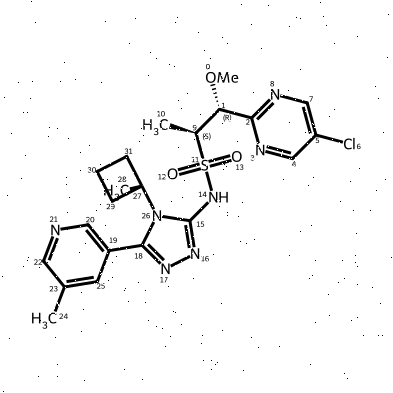 CO[C@H](c1ncc(Cl)cn1)[C@H](C)S(=O)(=O)Nc1nnc(-c2cncc(C)c2)n1C1(C)CCC1